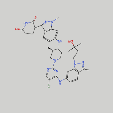 Cc1nn(CCC(C)(C)O)c2cc(Nc3nc(N4CC[C@@H](Nc5ccc6c(C7CCC(=O)NC7=O)nn(C)c6c5)[C@H](C)C4)ncc3Cl)ccc12